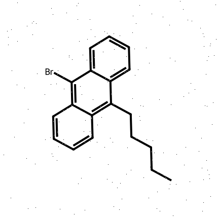 CCCCCc1c2ccccc2c(Br)c2ccccc12